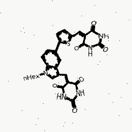 CCCCCCn1cc(C=C2C(=O)NC(=O)NC2=O)c2cc(-c3ccc(C=C4C(=O)NC(=O)NC4=O)s3)ccc21